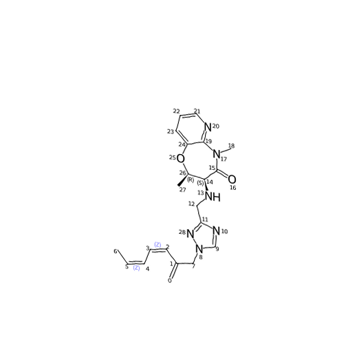 C=C(/C=C\C=C/C)Cn1cnc(CN[C@@H]2C(=O)N(C)c3ncccc3O[C@@H]2C)n1